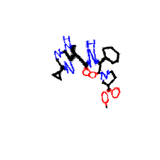 COC(=O)C1CCN(C(=O)C(NC(=O)c2c[nH]c3ncc(C4CC4)nc23)C2CCCCC2)C1